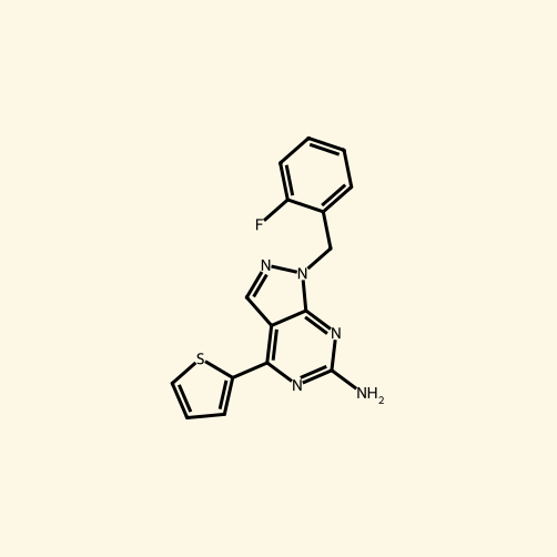 Nc1nc(-c2cccs2)c2cnn(Cc3ccccc3F)c2n1